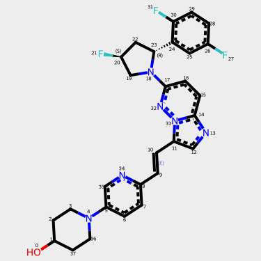 OC1CCN(c2ccc(/C=C/c3cnc4ccc(N5C[C@@H](F)C[C@@H]5c5cc(F)ccc5F)nn34)nc2)CC1